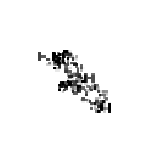 CC1(O)CCC(CNc2ccc(S(N)(=O)=O)cc2[N+](=O)[O-])CC1